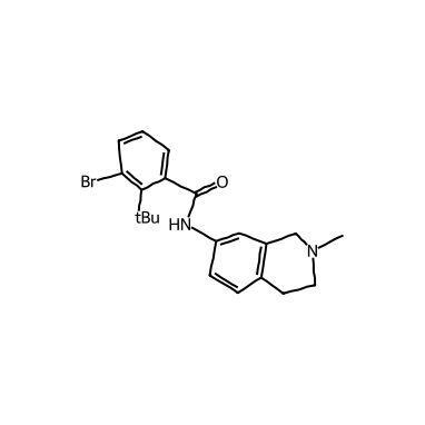 CN1CCc2ccc(NC(=O)c3cccc(Br)c3C(C)(C)C)cc2C1